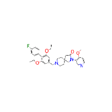 CCOc1cc(CN2CCC3(CC2)CC(=O)N(c2cnccc2OC)C3)cc(OCC)c1-c1ccc(F)cc1